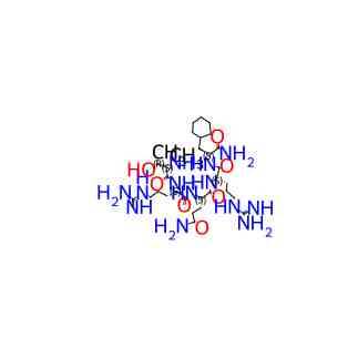 CN[C@H](C(=O)N[C@@H](CCCNC(=N)N)C(=O)N[C@@H](CCC(N)=O)C(=O)N[C@@H](CCCNC(=N)N)C(=O)N[C@@H](CC1CCCCC1)C(N)=O)[C@@H](C)O